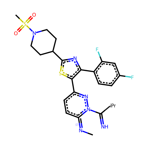 C/N=c1/ccc(-c2sc(C3CCN(S(C)(=O)=O)CC3)nc2-c2ccc(F)cc2F)nn1C(=N)C(C)C